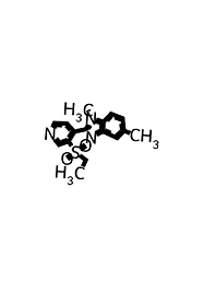 CCS(=O)(=O)c1cnccc1-c1nc2cc(C)ccc2n1C